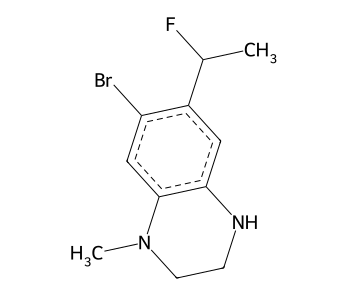 CC(F)c1cc2c(cc1Br)N(C)CCN2